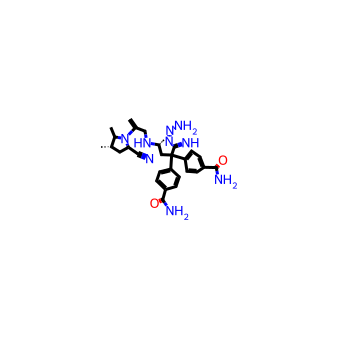 C=C(CN[C@H](C)CC(C(=N)/N=N\N)(c1ccc(C(N)=O)cc1)c1ccc(C(N)=O)cc1)N1C(C#N)C[C@H](C)C1C